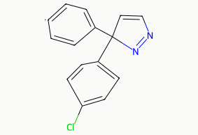 Clc1ccc(C2(c3cc[c]cc3)C=CN=N2)cc1